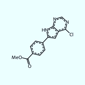 COC(=O)c1ccc(-c2cc3c(Cl)ncnc3[nH]2)cc1